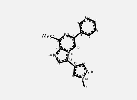 CSc1nc(-c2cccnc2)cn2c(-c3cnn(C)c3)cnc12